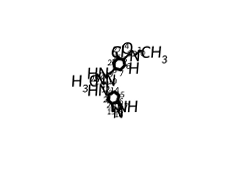 CCNC(=O)c1ccc(C2N=C(Nc3ccc4[nH]ncc4c3)N(C)N2)cc1Cl